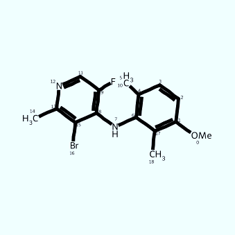 COc1ccc(C)c(Nc2c(F)cnc(C)c2Br)c1C